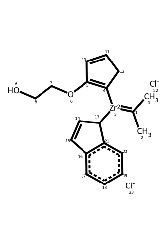 C[C](C)=[Zr+2]([C]1=C(OCCO)C=CC1)[CH]1C=Cc2ccccc21.[Cl-].[Cl-]